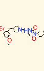 CCOc1ccc(Br)c(CC2CCN(CCc3cc(=O)n(C4CCCCC4)c(=O)[nH]3)CC2)c1